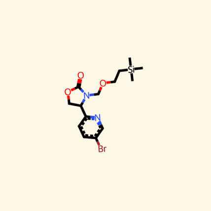 C[Si](C)(C)CCOCN1C(=O)OCC1c1ccc(Br)cn1